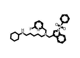 O=S(=O)(c1ccccc1)n1cc(CN(CCCCCNC2CCCCC2)Cc2cccc(F)n2)c2ccccc21